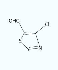 O=Cc1s[c]nc1Cl